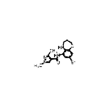 Cc1nn(C)cc1C(=O)Nc1cc(Br)cc2c1NCCCO2